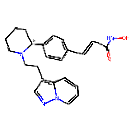 O=C(C=Cc1ccc([C@@H]2CCCCN2CCc2cnn3ccccc23)cc1)NO